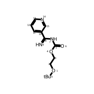 CC(C)(C)OCCOC(=O)NC(=N)c1cc[c]nc1